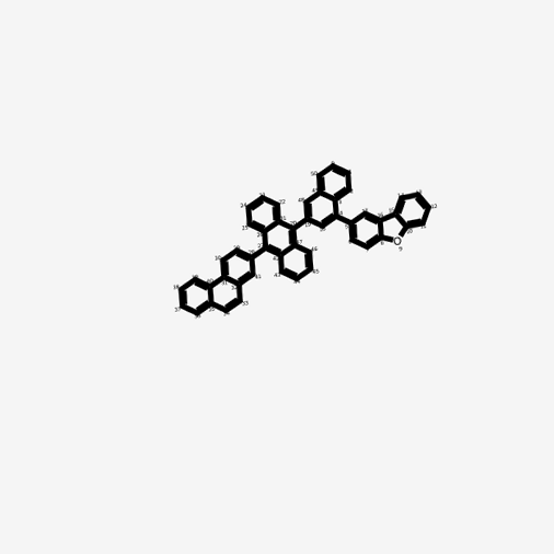 c1ccc2c(-c3ccc4oc5ccccc5c4c3)cc(-c3c4ccccc4c(-c4ccc5c(ccc6ccccc65)c4)c4ccccc34)cc2c1